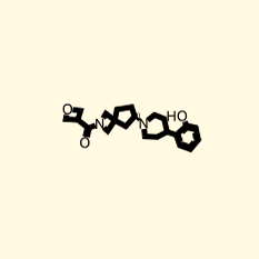 O=C(C1COC1)N1CC2(CC[C@@H](N3CCC(c4ccccc4O)CC3)C2)C1